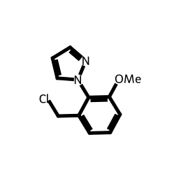 COc1cccc(CCl)c1-n1cccn1